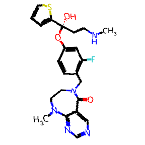 CNCC[C@@](O)(Oc1ccc(CN2CCN(C)c3ncncc3C2=O)c(F)c1)c1cccs1